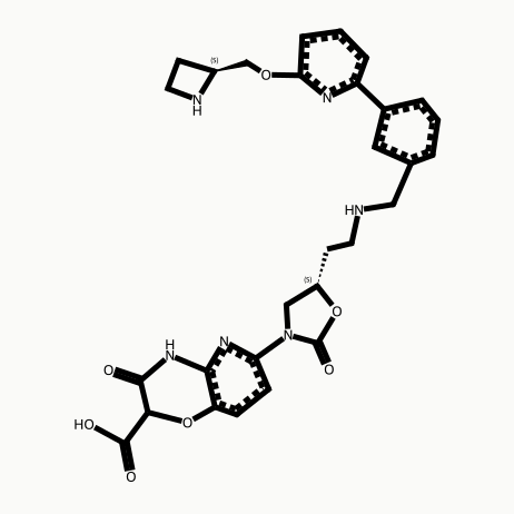 O=C(O)C1Oc2ccc(N3C[C@H](CCNCc4cccc(-c5cccc(OC[C@@H]6CCN6)n5)c4)OC3=O)nc2NC1=O